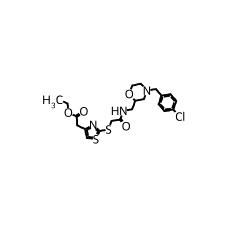 CCOC(=O)Cc1csc(SCC(=O)NCC2CN(Cc3ccc(Cl)cc3)CCO2)n1